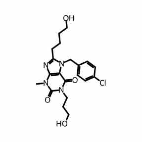 Cn1c(=O)n(CCCO)c(=O)c2c1nc(CCCCO)n2Cc1ccc(Cl)cc1